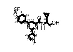 Cn1cc(-c2nc(C(=O)NC(CO)C3CC3)cc(-c3ccc(OC(F)(F)F)cc3)n2)cn1